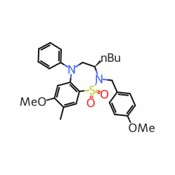 CCCC[C@@H]1CN(c2ccccc2)c2cc(OC)c(C)cc2S(=O)(=O)N1Cc1ccc(OC)cc1